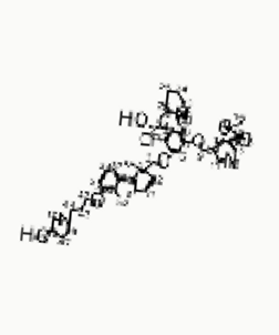 Cc1c(COc2cc(OCc3cncc(S(C)(=O)=O)c3)c(CN3CCCCC3C(=O)O)cc2Cl)cccc1-c1cccc(OCCCN2CCC(O)C2)c1C